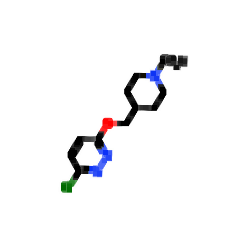 O=C(O)N1CCC(COc2ccc(Cl)nn2)CC1